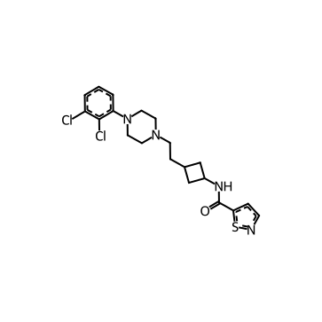 O=C(NC1CC(CCN2CCN(c3cccc(Cl)c3Cl)CC2)C1)c1ccns1